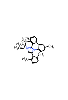 C=CC1(C)[n+]2cc(-c3c(C)cccc3C)n3c4ccc(C)cc4c4cccc(c4c32)C1(C)C